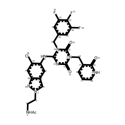 CC(=O)NCCn1cc2cc(Nc3nc(=O)n(Cc4ccc[nH]c4=O)c(=O)n3Cc3cc(F)c(F)c(F)c3)c(Cl)cc2n1